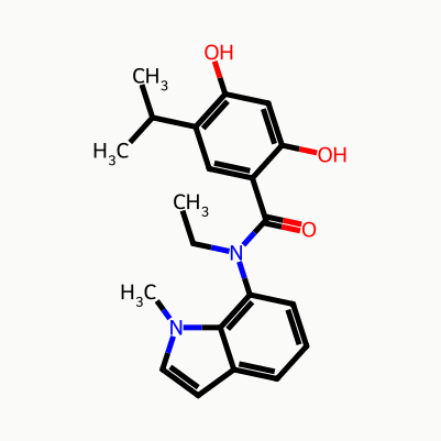 CCN(C(=O)c1cc(C(C)C)c(O)cc1O)c1cccc2ccn(C)c12